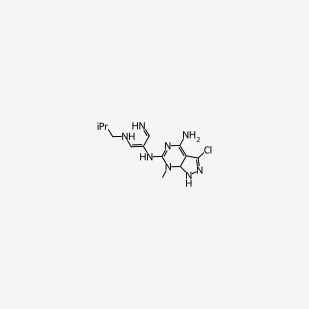 CC(C)CN/C=C(\C=N)NC1=NC(N)=C2C(Cl)=NNC2N1C